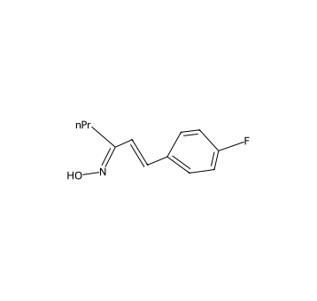 CCCC(C=Cc1ccc(F)cc1)=NO